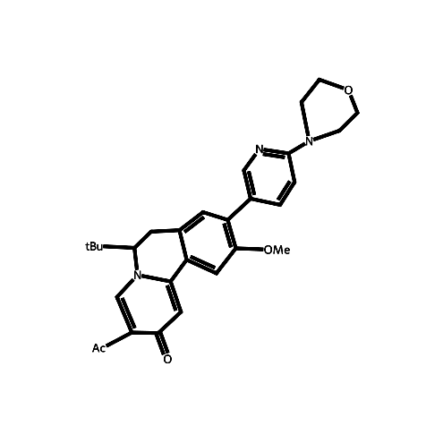 COc1cc2c(cc1-c1ccc(N3CCOCC3)nc1)CC(C(C)(C)C)n1cc(C(C)=O)c(=O)cc1-2